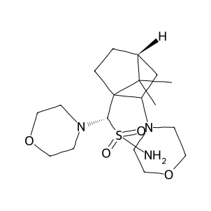 CC1(C)[C@@H]2CCC1([C@@H](N1CCOCC1)S(N)(=O)=O)C(N1CCOCC1)C2